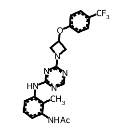 CC(=O)Nc1cccc(Nc2ncnc(N3CC(Oc4ccc(C(F)(F)F)cc4)C3)n2)c1C